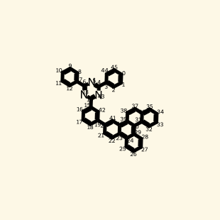 c1ccc(-c2nc(-c3ccccc3)nc(-c3cccc(-c4ccc5c6ccccc6c6c7ccccc7ccc6c5c4)c3)n2)cc1